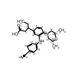 CCC(CC(=O)O)c1ccc(N2C[C@@H](C)O[C@@H](C)C2)c(Nc2ccc(C#N)cc2)c1